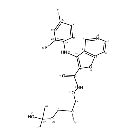 C[C@@H](CONC(=O)c1oc2ccncc2c1Nc1ccc(I)cc1F)COC(C)(C)O